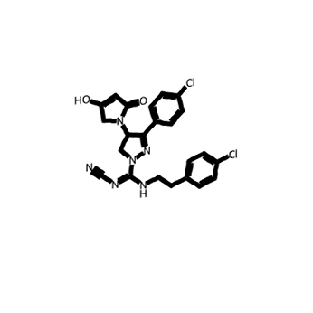 N#CN=C(NCCc1ccc(Cl)cc1)N1CC(N2CC(O)=CC2=O)C(c2ccc(Cl)cc2)=N1